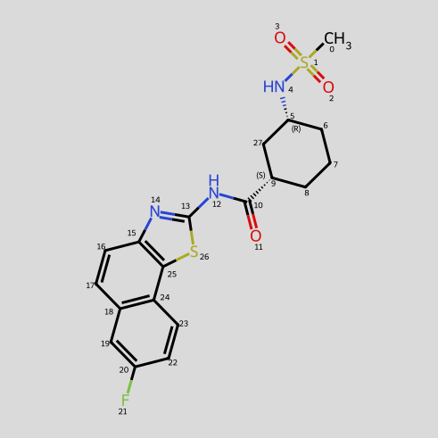 CS(=O)(=O)N[C@@H]1CCC[C@H](C(=O)Nc2nc3ccc4cc(F)ccc4c3s2)C1